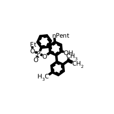 C=C(C)c1ccc(C)cc1-c1c(O)cc(CCCCC)cc1OP(=O)(OCC)c1ccccc1